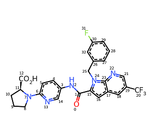 O=C(Nc1ccc(N2CCC[C@H]2C(=O)O)nc1)c1cc2cc(C(F)(F)F)cnc2n1Cc1cccc(F)c1